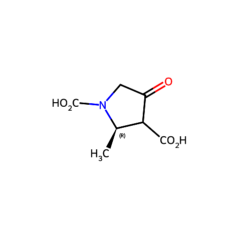 C[C@@H]1C(C(=O)O)C(=O)CN1C(=O)O